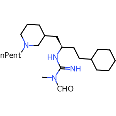 CCCCCN1CCCC(C[C@@H](CCC2CCCCC2)NC(=N)N(C)C=O)C1